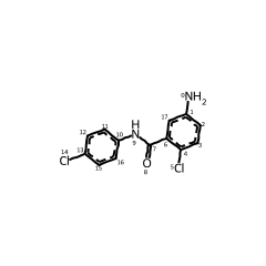 Nc1ccc(Cl)c(C(=O)Nc2ccc(Cl)cc2)c1